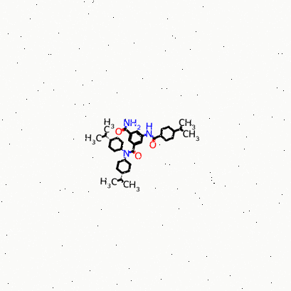 CC(C)C1CCC(C(=O)Nc2cc(C(N)=O)cc(C(=O)N([C@H]3CC[C@@H](C(C)C)CC3)[C@H]3CC[C@@H](C(C)C)CC3)c2)CC1